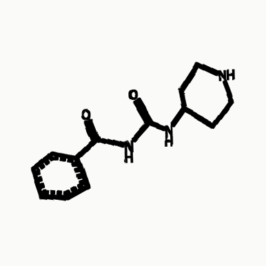 O=C(NC(=O)c1ccccc1)NC1CCNCC1